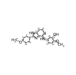 COc1ccc(-c2nc3c(Nc4ccc(OC)c(O)c4)nccc3[nH]2)cc1